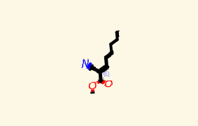 CCCCC/C=C(\C#N)C(=O)OC